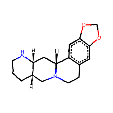 c1c2c(cc3c1OCO3)[C@H]1C[C@H]3NCCC[C@H]3CN1CC2